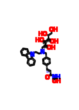 O=C(/C=C/c1ccc(CN(CCn2c3ccccc3c3ccccc32)C[C@H](O)[C@@H](O)[C@H](O)C(O)CO)cc1)NO